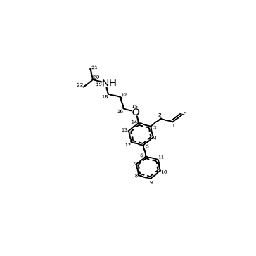 C=CCc1cc(-c2ccccc2)ccc1OCCCNC(C)C